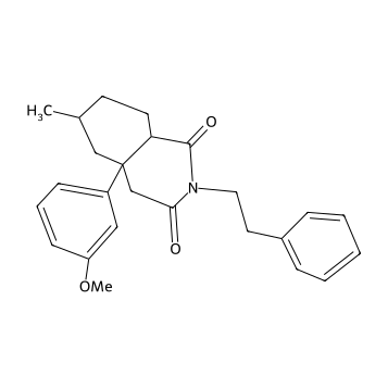 COc1cccc(C23CC(=O)N(CCc4ccccc4)C(=O)C2CCC(C)C3)c1